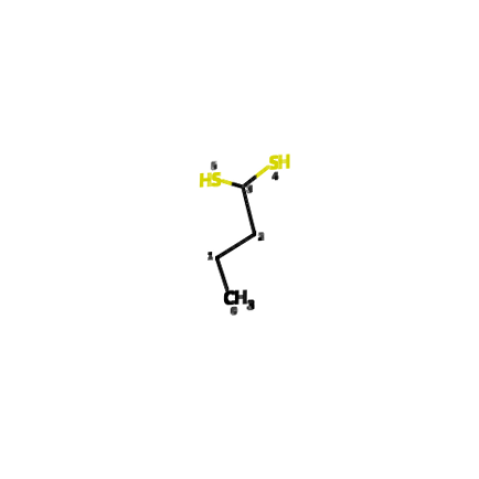 CCCC(S)S